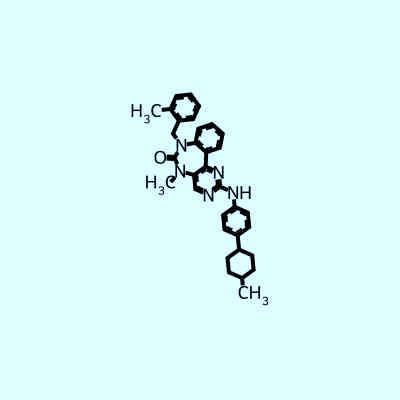 Cc1ccccc1CN1C(=O)N(C)c2cnc(Nc3ccc(C4CCC(C)CC4)cc3)nc2-c2ccccc21